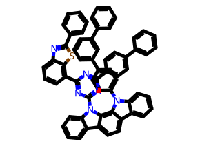 c1ccc(-c2ccc(-c3nc(-c4cccc5nc(-c6ccccc6)sc45)nc(-n4c5ccccc5c5ccc6c7ccccc7n(-c7ccc(-c8cccc(-c9ccccc9)c8)cc7)c6c54)n3)cc2)cc1